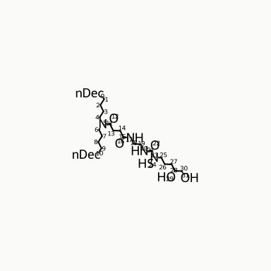 CCCCCCCCCCCCCCN(CCCCCCCCCCCCCC)C(=O)CCC(=O)NCCNC(=O)N(S)CCCC(O)CO